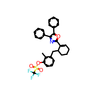 Cc1c(CC2CCCC=C2c2nc(-c3ccccc3)c(-c3ccccc3)o2)cccc1OS(=O)(=O)C(F)(F)F